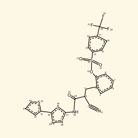 N#CC(Cc1ccccc1OS(=O)(=O)c1ccc(C(F)(F)F)cc1)C(=O)Nc1nnc(-c2cccs2)s1